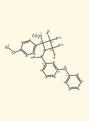 CCOc1ccc(C2(C(=O)O)C(C(F)c3cccc(Oc4ccccc4)c3)C(F)(F)C2(F)F)cc1